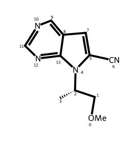 COC[C@H](C)n1c(C#N)cc2cncnc21